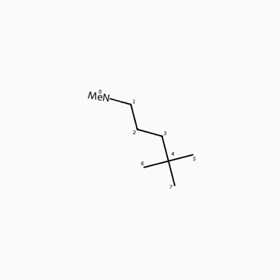 CNCCCC(C)(C)C